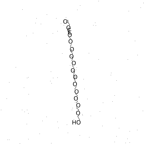 OCCCOCCOCCOCCOCCOCCOCCOCCOCCOCCOCCOCCOCCOCC1CO1